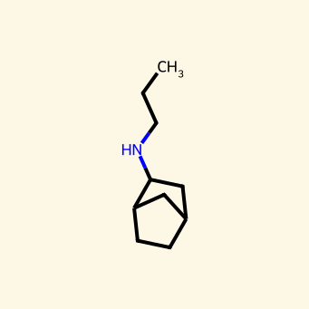 CCCNC1CC2CCC1C2